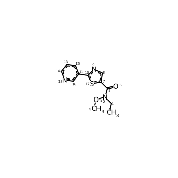 CCN(OC)C(=O)c1cnc(-c2cccnc2)s1